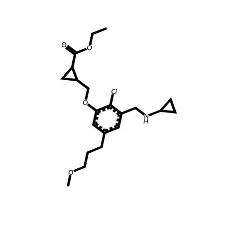 CCOC(=O)C1CC1COc1cc(CCCOC)cc(CNC2CC2)c1Cl